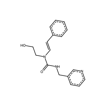 O=C(NCc1cccnc1)N(C=Cc1ccccc1)CCO